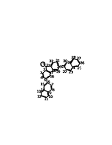 O=C1c2ccc(-c3ccc4ccccc4c3)cc2-c2cc(-c3ccc4ccccc4c3)ccc21